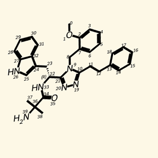 COc1ccccc1Cn1c(CCc2ccccc2)nnc1[C@@H](Cc1c[nH]c2ccccc12)NC(=O)C(C)(C)N